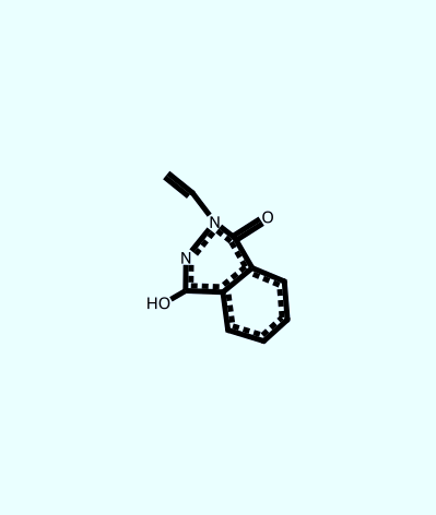 C=Cn1nc(O)c2ccccc2c1=O